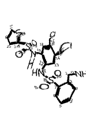 NCc1ccccc1S(=O)(=O)Nc1cc(Cl)c(Cl)cc1NS(=O)(=O)c1cccs1